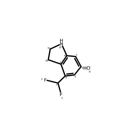 Cl.FC(F)c1cccc2c1CCN2